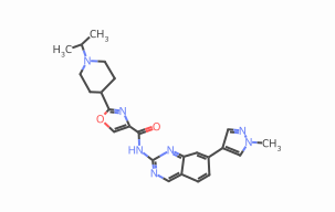 CC(C)N1CCC(c2nc(C(=O)Nc3ncc4ccc(-c5cnn(C)c5)cc4n3)co2)CC1